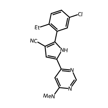 CCc1ccc(Cl)cc1-c1[nH]c(-c2cc(NC)ncn2)cc1C#N